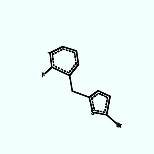 Fc1[c]cccc1Cc1ccc(Br)s1